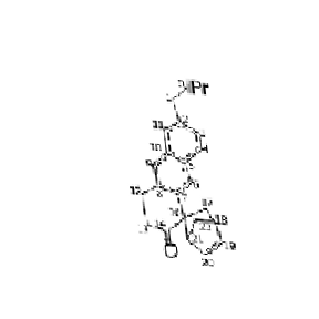 CC(C)Cc1ccc2cc3c(cc2c1)CCC(=O)C31CC2C=CC1C2